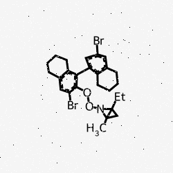 CCC12CC1(C)N2OOc1c(Br)cc2c(c1-c1cc(Br)cc3c1CCCC3)CCCC2